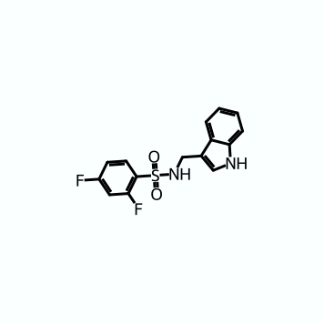 O=S(=O)(NCc1c[nH]c2ccccc12)c1ccc(F)cc1F